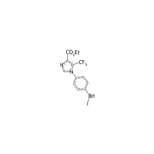 CCOC(=O)c1ncn(-c2ccc(BI)cc2)c1C(F)(F)F